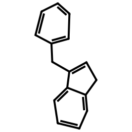 C1=C(Cc2ccccc2)c2ccccc2C1